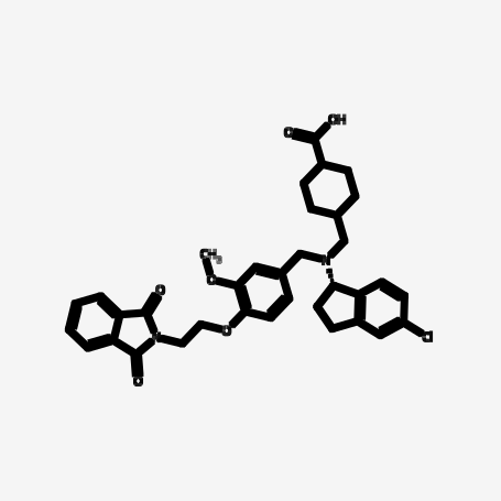 COc1cc(CN(CC2CCC(C(=O)O)CC2)[C@H]2CCc3cc(Cl)ccc32)ccc1OCCN1C(=O)c2ccccc2C1=O